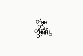 CC(=O)NC(C)=O.CC(=O)NC(C)=O.CC(N)=O.CC(N)=O